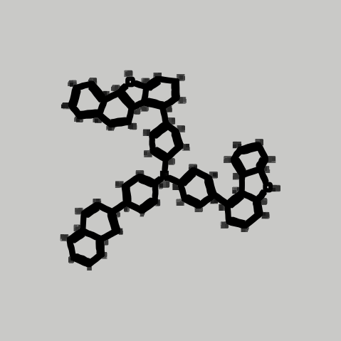 c1ccc2cc(-c3ccc(N(c4ccc(-c5cccc6oc7ccccc7c56)cc4)c4ccc(-c5cccc6oc7c8ccccc8ccc7c56)cc4)cc3)ccc2c1